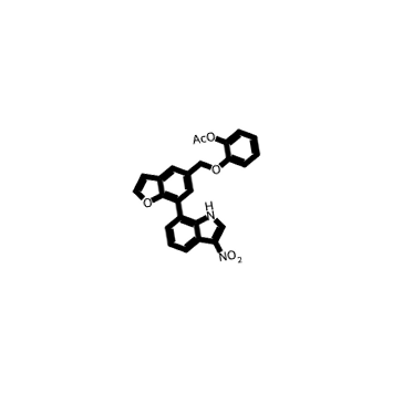 CC(=O)Oc1ccccc1OCc1cc(-c2cccc3c([N+](=O)[O-])c[nH]c23)c2occc2c1